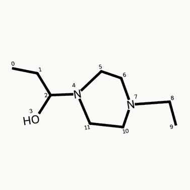 CCC(O)N1CCN(CC)CC1